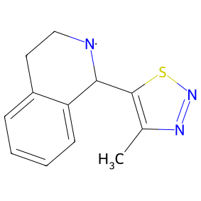 Cc1nnsc1C1[N]CCc2ccccc21